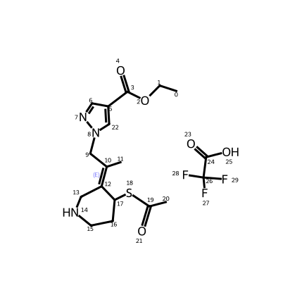 CCOC(=O)c1cnn(C/C(C)=C2\CNCCC2SC(C)=O)c1.O=C(O)C(F)(F)F